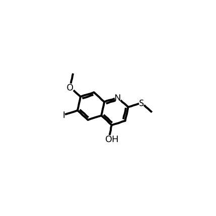 COc1cc2nc(SC)cc(O)c2cc1I